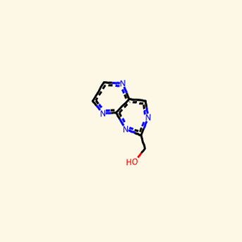 OCc1ncc2nccnc2n1